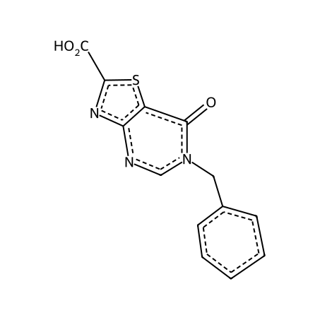 O=C(O)c1nc2ncn(Cc3ccccc3)c(=O)c2s1